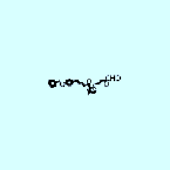 CC1(C)CCN(CCCC(=O)C=O)C1C(=O)CCC=Cc1ccc(OCc2ccccc2)cc1